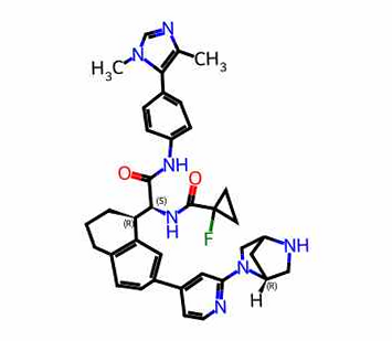 Cc1ncn(C)c1-c1ccc(NC(=O)[C@@H](NC(=O)C2(F)CC2)[C@@H]2CCCc3ccc(-c4ccnc(N5CC6C[C@@H]5CN6)c4)cc32)cc1